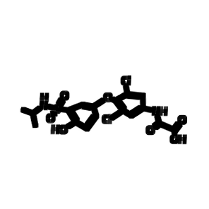 CC(C)NS(=O)(=O)c1cc(Oc2c(Cl)cc(NC(=O)C(=O)O)cc2Cl)ccc1O